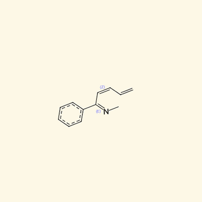 C=C/C=C\C(=N/C)c1ccccc1